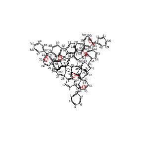 O=C(c1ccccc1)c1ccc2c(c1)C1(c3cc(C(=O)c4ccccc4)ccc3-2)c2ccccc2-c2c1c1c(c3c2C2(c4cc(C(=O)c5ccccc5)ccc4-c4ccc(C(=O)c5ccccc5)cc42)c2ccccc2-3)C2(c3cc(C(=O)c4ccccc4)ccc3-c3ccc(C(=O)c4ccccc4)cc32)c2ccccc2-1